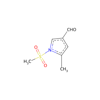 Cc1cc(C=O)cn1S(C)(=O)=O